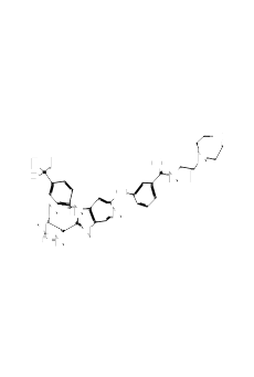 Nc1nonc1-c1nc2cnc(Oc3cccc(C(=O)NCCN4CCOCC4)c3)cc2n1-c1ccc(C(F)(F)F)cc1